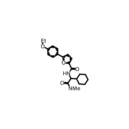 CCOc1ccc(-c2ccc(C(=O)NC(C(=O)NC)C3CCCCC3)o2)cc1